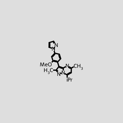 COc1cc(-n2cccn2)ccc1-c1c(C)nn2c(C(C)C)cc(C)nc12